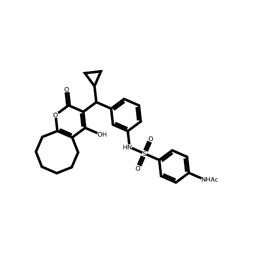 CC(=O)Nc1ccc(S(=O)(=O)Nc2cccc(C(c3c(O)c4c(oc3=O)CCCCCC4)C3CC3)c2)cc1